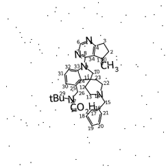 C[C@@H]1CCc2ncnc(N3CC4(CCN(Cc5ccccc5)CC4)c4c(CN(C(=O)O)C(C)(C)C)cccc43)c21